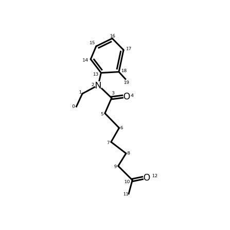 CCN(C(=O)CCCCCC(C)=O)c1ccccc1C